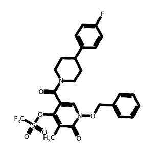 Cc1c(OS(=O)(=O)C(F)(F)F)c(C(=O)N2CCC(c3ccc(F)cc3)CC2)cn(OCc2ccccc2)c1=O